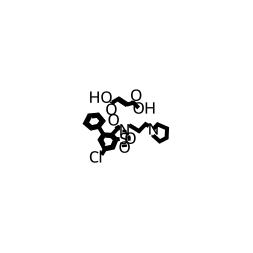 O=C(O)/C=C/C(=O)O.O=C1c2c(-c3ccccc3)cc(Cl)cc2S(=O)(=O)N1CCCN1CCCCC1